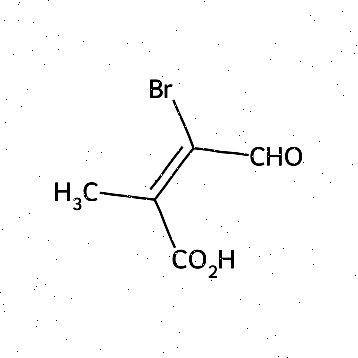 C/C(C(=O)O)=C(\Br)C=O